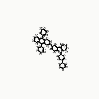 C1=CCC(C2=CCC(n3c4ccncc4c4cc(-c5ccc6c(-c7ccccc7)c7ccccc7c(-c7ccccc7)c6c5)ccc43)C=C2)C=C1